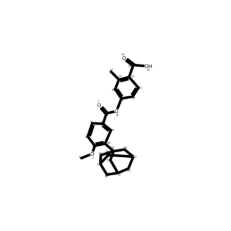 COc1ccc(C(=O)Oc2ccc(C(=O)O)c(C)c2)cc1C12CC3CC(CC(C3)C1)C2